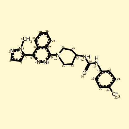 Cn1nccc1-c1nnc(N2CCC(NC(=O)Nc3ccc(C(F)(F)F)cc3)CC2)c2ccccc12